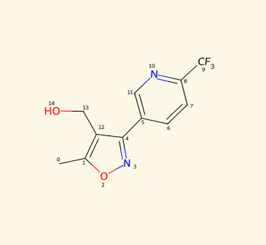 Cc1onc(-c2ccc(C(F)(F)F)nc2)c1CO